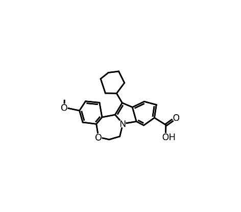 COc1ccc2c(c1)OCCn1c-2c(C2CCCCC2)c2ccc(C(=O)O)cc21